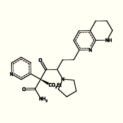 CCOC(=O)[C@](C(N)=O)(C(=O)C(CCc1ccc2c(n1)NCCC2)N1CCCC1)c1cccnc1